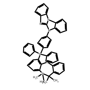 CC1(C)c2ccccc2Sc2c([Si](c3ccccc3)(c3ccccc3)c3ccc(-n4c5ccccc5n5c6ccccc6nc45)cc3)cccc2[Si]1(C)C